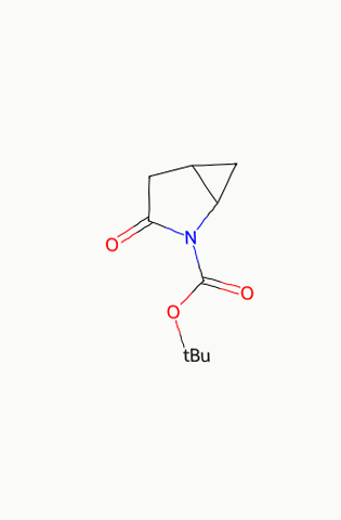 CC(C)(C)OC(=O)N1C(=O)CC2CC21